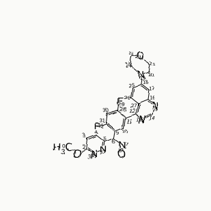 COc1ccc(C(N=O)c2cc(-c3ncnc4cc(N5CCOCC5)ccc34)c(F)cc2F)nn1